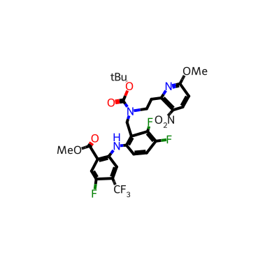 COC(=O)c1cc(F)c(C(F)(F)F)cc1Nc1ccc(F)c(F)c1CN(CCc1nc(OC)ccc1[N+](=O)[O-])C(=O)OC(C)(C)C